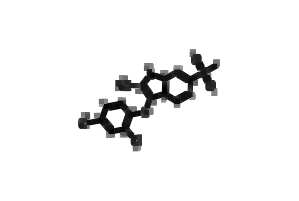 CS(=O)(=O)c1ccc2c(Sc3ccc(Cl)cc3Cl)c(C#N)sc2c1